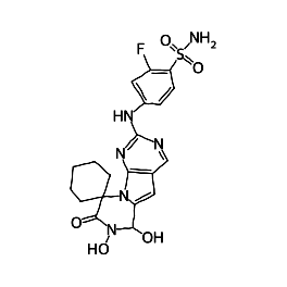 NS(=O)(=O)c1ccc(Nc2ncc3cc4n(c3n2)C2(CCCCC2)C(=O)N(O)C4O)cc1F